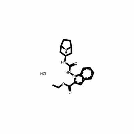 CCOC(=O)c1cc2ccccc2n1NC(=O)NC1CC2CCC(C1)N2C.Cl